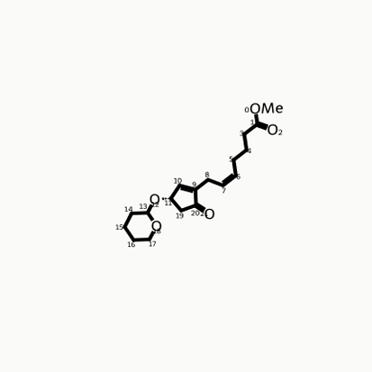 COC(=O)CCC/C=C\CC1=C[C@@H](OC2CCCCO2)CC1=O